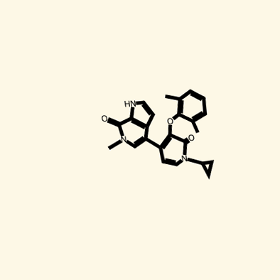 Cc1cccc(C)c1Oc1c(-c2cn(C)c(=O)c3[nH]ccc23)ccn(C2CC2)c1=O